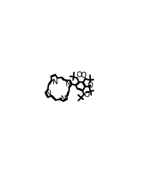 CC(C)(C)C(=O)c1cc(C2=CC3=CC4=NC(=CC5=NC(=CC6=NC(=CC2=N3)C=C6)C=C5)C=C4)c(C(=O)C(C)(C)C)c(C(=O)C(C)(C)C)c1C(=O)C(C)(C)C